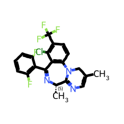 CC1=CN=C2[C@H](C)N=C(c3c(F)cccc3F)c3c(ccc(C(F)(F)F)c3Cl)N2C1